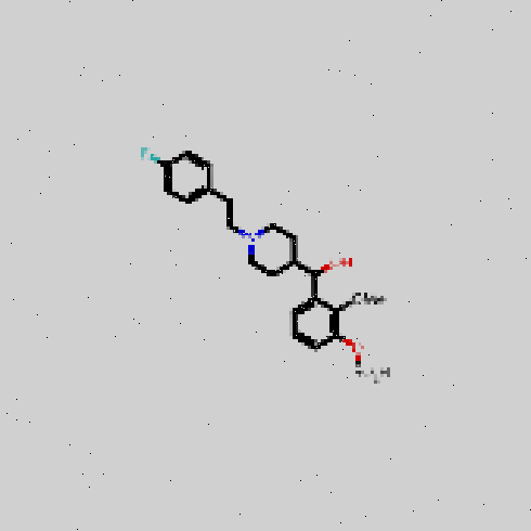 COc1c(OS(=O)(=O)O)cccc1C(O)C1CCN(CCc2ccc(F)cc2)CC1